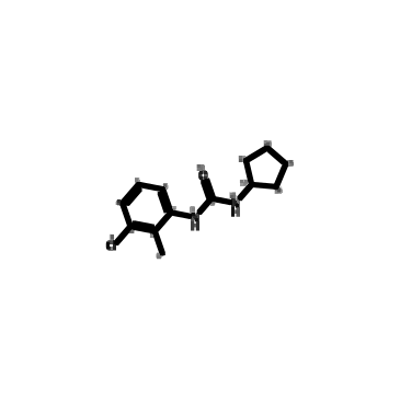 Cc1c(Cl)cccc1NC(=O)NC1CCCC1